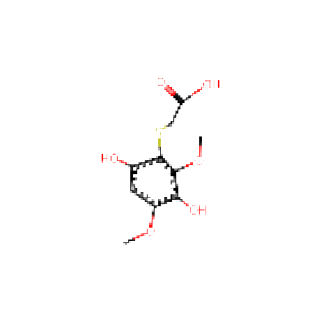 COc1cc(O)c(SCC(=O)O)c(OC)c1O